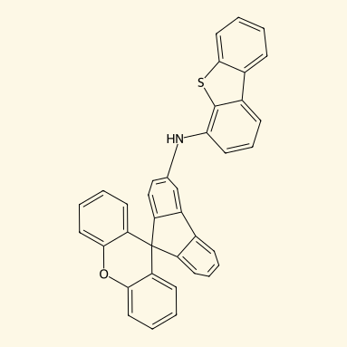 c1ccc2c(c1)Oc1ccccc1C21c2ccccc2-c2cc(Nc3cccc4c3sc3ccccc34)ccc21